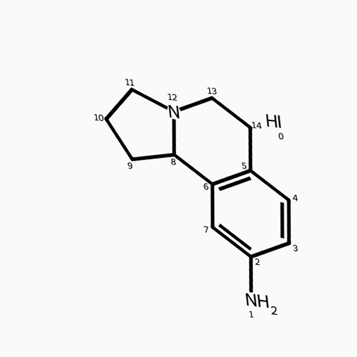 I.Nc1ccc2c(c1)C1CCCN1CC2